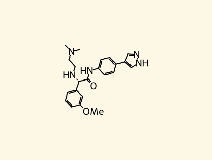 COc1cccc([C@H](NCCN(C)C)C(=O)Nc2ccc(-c3cn[nH]c3)cc2)c1